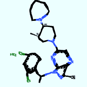 CC(c1ccc(Cl)cc1Cl)n1nc(C#N)c2ncc(N3CC[C@@H](N4CCCCC4)[C@@H](C)C3)nc21.Cl